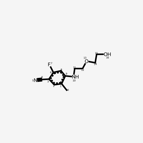 Cc1cc(C#N)c(F)cc1NCCOCCO